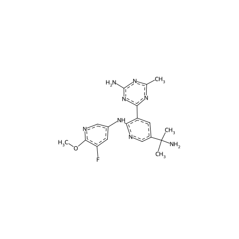 COc1ncc(Nc2ncc(C(C)(C)N)cc2-c2nc(C)nc(N)n2)cc1F